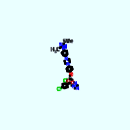 CSc1nc(C)n(-c2ccc(N3CCN(c4ccc(OC[C@@H]5CO[C@@](Cn6cncn6)(c6ccc(Cl)cc6Cl)O5)cc4)CC3)cc2)n1